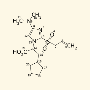 C=CCS(=O)(=O)c1nc(N(C)C)cn1C(CC1CCCC1)C(=O)O